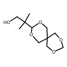 CC(C)(CO)C1OCC2(COCOC2)CO1